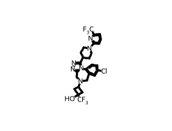 OC1(C(F)(F)F)CC(N2Cc3cc(Cl)ccc3-n3c(nnc3C3CCN(c4cccc(C(F)(F)F)n4)CC3)C2)C1